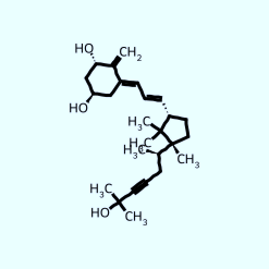 C=C1C(=C/C=C/[C@@H]2CC[C@](C)([C@H](C)CC#CC(C)(C)O)C2(C)C)C[C@@H](O)C[C@@H]1O